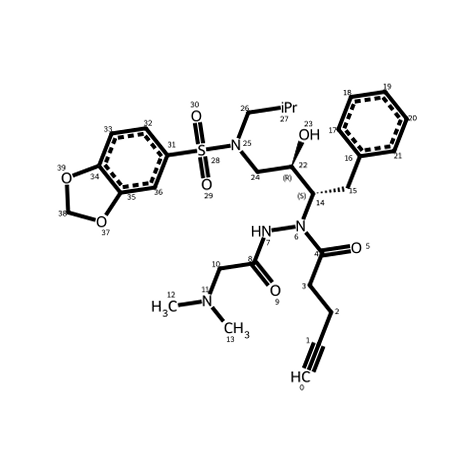 C#CCCC(=O)N(NC(=O)CN(C)C)[C@@H](Cc1ccccc1)[C@H](O)CN(CC(C)C)S(=O)(=O)c1ccc2c(c1)OCO2